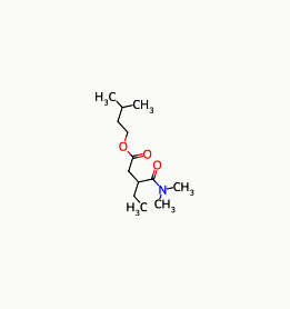 CCC(CC(=O)OCCC(C)C)C(=O)N(C)C